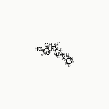 C[C@H]1O[C@@H](n2cc(I)c3c2N=CN(NCc2cccnc2)C3)[C@H](O)[C@@H]1O